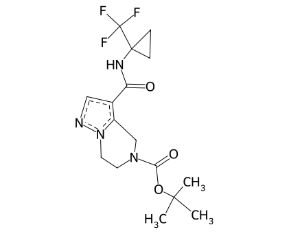 CC(C)(C)OC(=O)N1CCn2ncc(C(=O)NC3(C(F)(F)F)CC3)c2C1